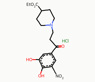 CCOC(=O)C1CCN(CCC(=O)c2cc(O)c(O)c([N+](=O)[O-])c2)CC1.Cl